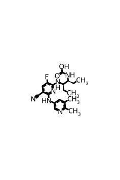 CC[C@H](NC(=O)O)[C@@H](CC)Nc1nc(Nc2cnc(C)c(C)c2)c(C#N)cc1F